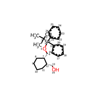 CC(C)(C)[Si](OC[C@H]1CCCC[C@H]1CO)(c1ccccc1)c1ccccc1